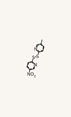 Cc1ccc(SSc2ccc([N+](=O)[O-])cn2)nc1